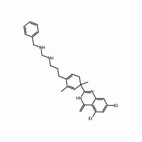 C=C1NC(C2(C)C=C(C)C(CCCNCNCc3ccccc3)=CC2)=Nc2cc(CC)cc(CC)c21